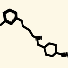 Cc1cccc(CCCCNCC2CCC(N)CC2)c1